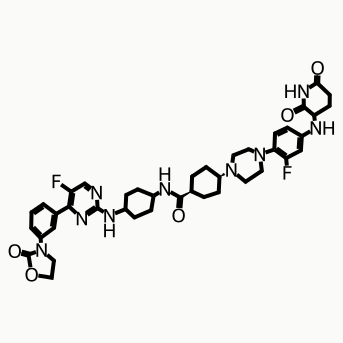 O=C1CCC(Nc2ccc(N3CCN([C@H]4CC[C@H](C(=O)NC5CCC(Nc6ncc(F)c(-c7cccc(N8CCOC8=O)c7)n6)CC5)CC4)CC3)c(F)c2)C(=O)N1